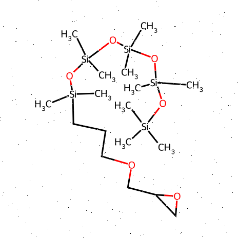 C[Si](C)(C)O[Si](C)(C)O[Si](C)(C)O[Si](C)(C)O[Si](C)(C)CCCOCC1CO1